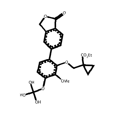 CCOC(=O)C1(COc2c(-c3ccc4c(c3)COC4=O)ccc(OC(O)(O)O)c2OC)CC1